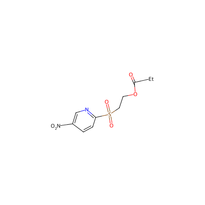 CCC(=O)OCCS(=O)(=O)c1ccc([N+](=O)[O-])cn1